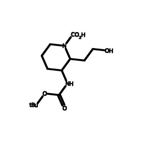 CC(C)(C)OC(=O)NC1CCCN(C(=O)O)C1CCO